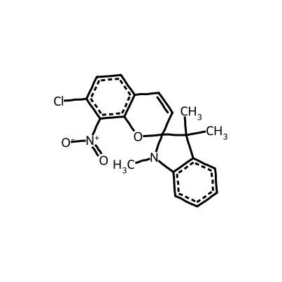 CN1c2ccccc2C(C)(C)C12C=Cc1ccc(Cl)c([N+](=O)[O-])c1O2